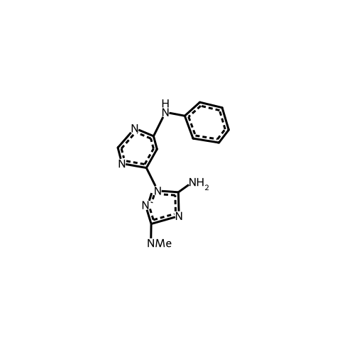 CNc1nc(N)n(-c2cc(Nc3ccccc3)ncn2)n1